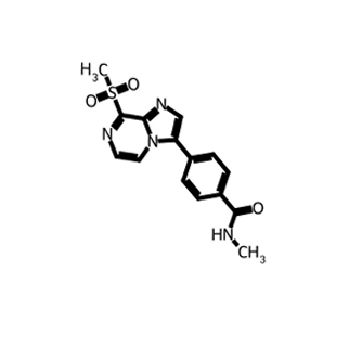 CNC(=O)c1ccc(-c2cnc3c(S(C)(=O)=O)nccn23)cc1